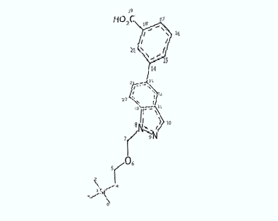 C[Si](C)(C)CCOCn1ncc2cc(-c3cccc(C(=O)O)c3)ccc21